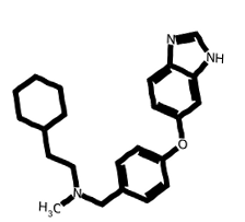 CN(CCC1CCCCC1)Cc1ccc(Oc2ccc3nc[nH]c3c2)cc1